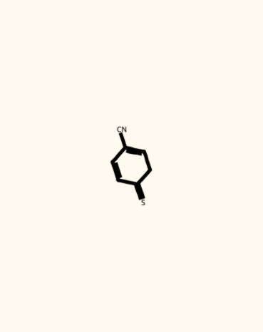 N#CC1=CCC(=S)[C]=C1